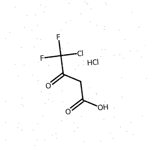 Cl.O=C(O)CC(=O)C(F)(F)Cl